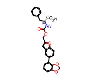 O=C(N[C@H](Cc1ccccc1)C(=O)O)OCc1cc2cc(-c3cccc4c3OCO4)ccc2o1